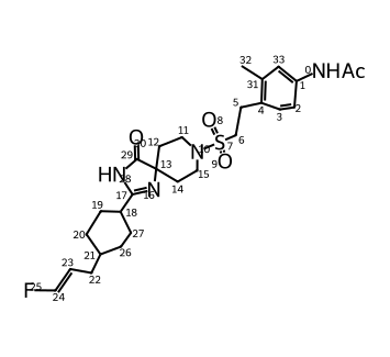 CC(=O)Nc1ccc(CCS(=O)(=O)N2CCC3(CC2)N=C(C2CCC(CC=CF)CC2)NC3=O)c(C)c1